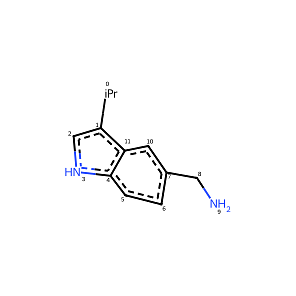 CC(C)c1c[nH]c2ccc(CN)cc12